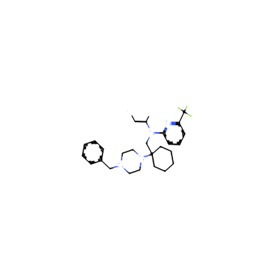 CCC(C)N(CC1(N2CCN(Cc3ccccc3)CC2)CCCCC1)c1cccc(C(F)(F)F)n1